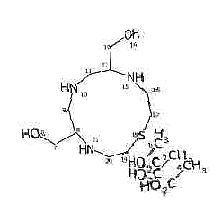 CC(=O)O.CC(=O)O.CC(=O)O.OCC1CNCC(CO)NCCSCCN1